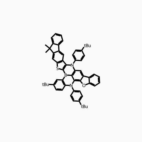 CC(C)(C)c1ccc(N2c3cc4c(oc5ccccc54)c4c3B(c3cc(C(C)(C)C)ccc3N4c3ccc(C(C)(C)C)cc3)c3sc4cc5c(cc4c32)-c2ccccc2C5(C)C)cc1